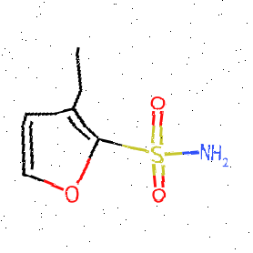 Cc1ccoc1S(N)(=O)=O